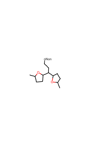 CCCCCCCCCCCC(C1CCC(C)O1)C1CCC(C)O1